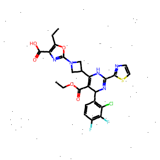 CCOC(=O)C1=C(C2CN(c3nc(C(=O)O)c(CC)o3)C2)NC(c2nccs2)=NC1c1ccc(F)c(F)c1Cl